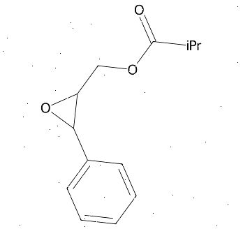 CC(C)C(=O)OCC1OC1c1ccccc1